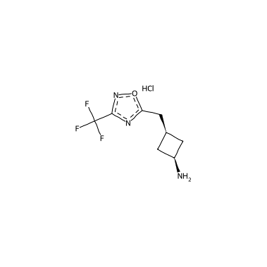 Cl.N[C@H]1C[C@@H](Cc2nc(C(F)(F)F)no2)C1